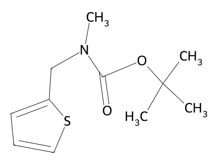 CN(Cc1cccs1)C(=O)OC(C)(C)C